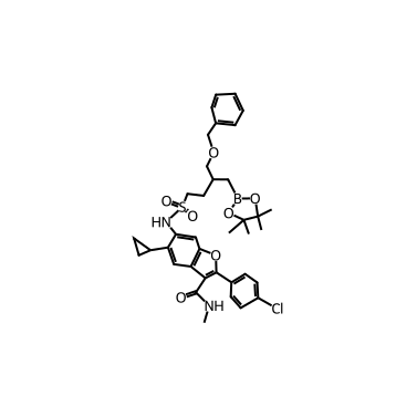 CNC(=O)c1c(-c2ccc(Cl)cc2)oc2cc(NS(=O)(=O)CCC(COCc3ccccc3)CB3OC(C)(C)C(C)(C)O3)c(C3CC3)cc12